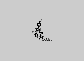 CCOC(=O)c1c(C)nn(-c2cc(Nc3c(C)c(-c4ccc(C(F)F)cc4)nn3CC3CC3)ncn2)c1C